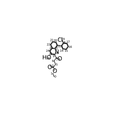 CCOC(=O)CCC(=O)c1nc2c(-c3ccccc3Cl)cccc2cc1O